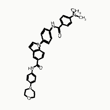 CN(C)c1ccc(C(=O)Nc2ccc(-n3ccc4cc(C(=O)Nc5ccc(N6CCOCC6)cc5)ccc43)cc2)cc1